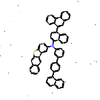 c1cc(-c2ccc(-c3cccc4ccccc34)cc2)cc(N(c2ccc3sc4cc5ccccc5cc4c3c2)c2ccc(-c3cc4ccccc4c4ccccc34)c3ccccc23)c1